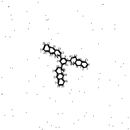 c1ccc2cc3nc(-c4cc(-c5ccc6cc7ccccc7cc6n5)cc(-c5ccc6cc7ccccc7cc6n5)c4)ccc3cc2c1